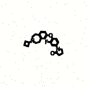 O=C1CCCN1c1ccc(Oc2ccc3c(c2)CCN(C2CCC2)CC3)c(F)c1